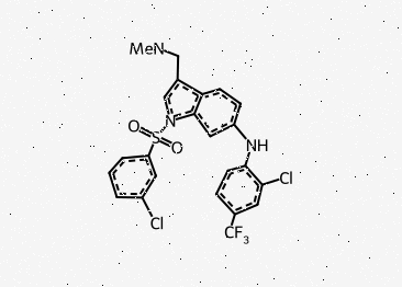 CNCc1cn(S(=O)(=O)c2cccc(Cl)c2)c2cc(Nc3ccc(C(F)(F)F)cc3Cl)ccc12